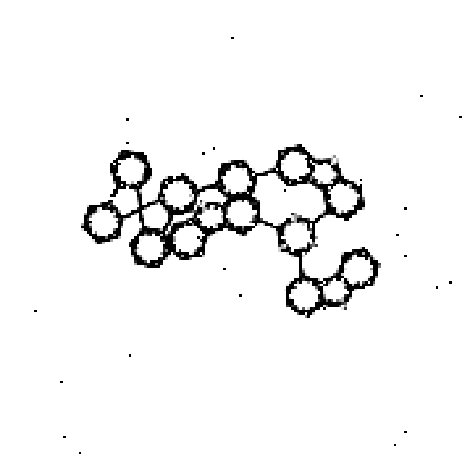 c1ccc2c(c1)-c1ccccc1C21c2ccccc2-c2cc(-c3ccc(-c4ccc5oc6cccc(-c7nc(-c8ccc9oc%10ccccc%10c9c8)nc(-c8cccc9oc%10ccccc%10c89)n7)c6c5c4)cc3)ccc21